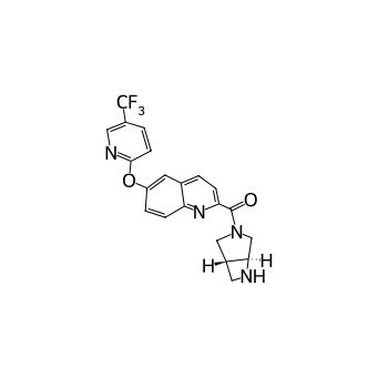 O=C(c1ccc2cc(Oc3ccc(C(F)(F)F)cn3)ccc2n1)N1C[C@H]2CN[C@@H]2C1